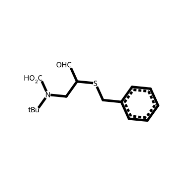 CC(C)(C)N(CC(C=O)SCc1ccccc1)C(=O)O